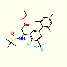 CCOC(=O)C[C@H](N[S@+]([O-])C(C)(C)C)c1cc(-c2c(C)cc(C)cc2C)cc(C(F)(F)F)c1F